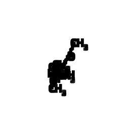 CC#CCOC1C=CC(C[C@H](NC(=O)[C@@H](/C=C/CCCCCCC(=O)CCCCCCC)[C@](C)(O)C(=O)O)C(=O)OC)=CC1